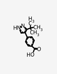 CC(C)(C)c1n[nH]cc1-c1ccc(C(=O)O)cc1